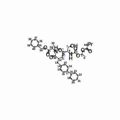 CC(OC(=O)NC(CO)/[P+]([O-])=C/C(Cc1ccc(-c2ccccc2)cc1)C(=O)NC(C)C(=O)OCc1ccccc1)OC(=O)C(C)C